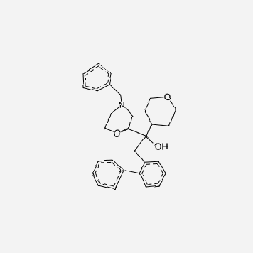 OC(Cc1ccccc1-c1ccccc1)(C1CCOCC1)C1CN(Cc2ccccc2)CCO1